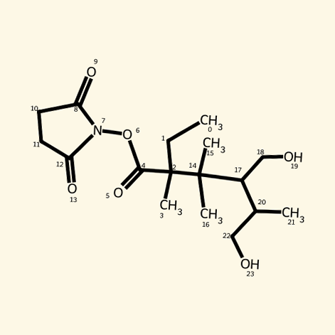 CCC(C)(C(=O)ON1C(=O)CCC1=O)C(C)(C)C(CO)C(C)CO